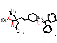 C=CCC(CC=C)(CCC1CCCC(O[Si](c2ccccc2)(c2ccccc2)C(C)(C)C)C1)C(=O)OC(C)(C)C